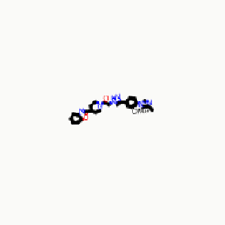 COc1cc(-c2cn(CC(=O)N3CCC(c4nc5ccccc5o4)CC3)nn2)ccc1-n1cnc(C)c1